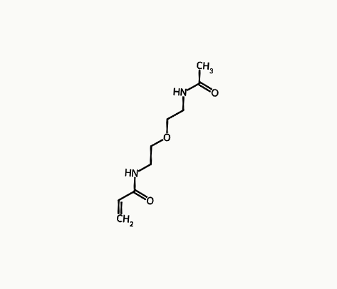 C=CC(=O)NCCOCCNC(C)=O